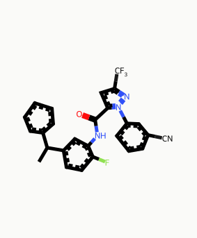 CC(c1ccccc1)c1ccc(F)c(NC(=O)c2cc(C(F)(F)F)nn2-c2cccc(C#N)c2)c1